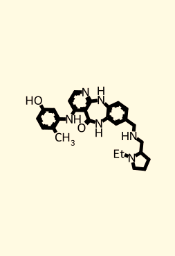 CCN1CCCC1CNCc1ccc2c(c1)NC(=O)c1c(Nc3cc(O)ccc3C)ccnc1N2